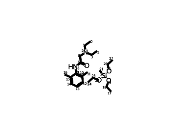 CCN(CC)CC(=O)Nc1c(C)cccc1C.CCO[Si](C)(OCC)OCC